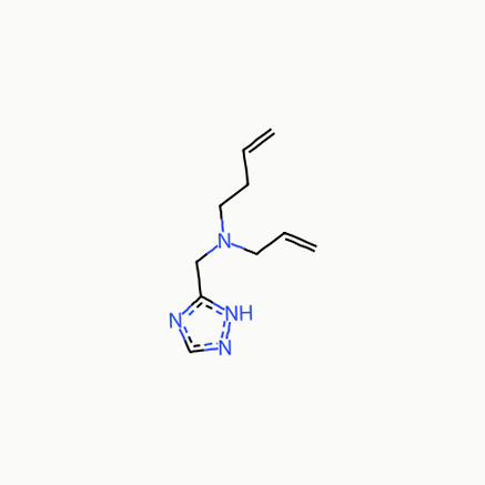 C=CCCN(CC=C)Cc1ncn[nH]1